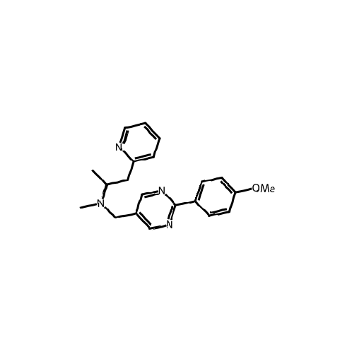 COc1ccc(-c2ncc(CN(C)C(C)Cc3ccccn3)cn2)cc1